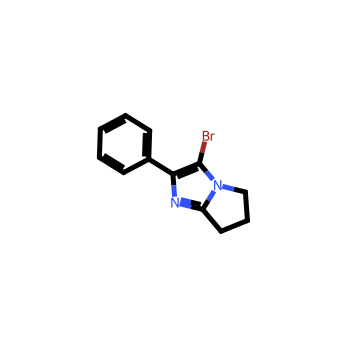 Brc1c(-c2ccccc2)nc2n1CCC2